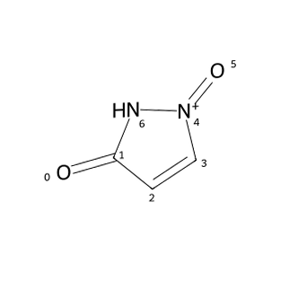 O=C1C=C[N+](=O)N1